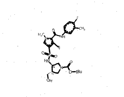 Cc1cc(NC(=O)c2c(F)c(S(=O)(=O)N[C@H]3CN(C(=O)OC(C)(C)C)C[C@@H]3CO)cn2C)ccc1F